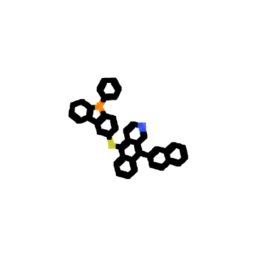 C1=Cc2c(p(-c3ccccc3)c3ccc(Sc4c5ccccc5c(-c5ccc6ccccc6c5)c5cnccc45)cc23)CC1